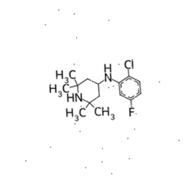 CC1(C)CC(Nc2cc(F)ccc2Cl)CC(C)(C)N1